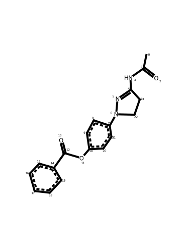 CC(=O)NC1=NN(c2ccc(OC(=O)c3ccccc3)cc2)CC1